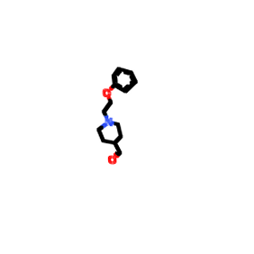 O=CC1CCN(CCOc2ccccc2)CC1